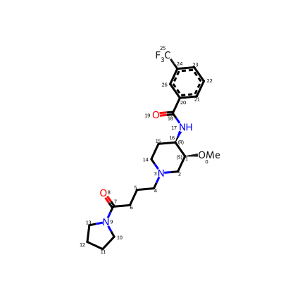 CO[C@H]1CN(CCCC(=O)N2CCCC2)CC[C@H]1NC(=O)c1cccc(C(F)(F)F)c1